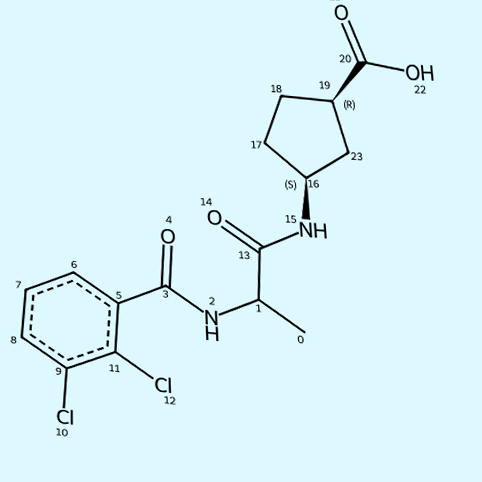 CC(NC(=O)c1cccc(Cl)c1Cl)C(=O)N[C@H]1CC[C@@H](C(=O)O)C1